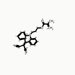 C=C(C)C(=O)OCCCN1c2ccccc2C(=C(C#N)C#N)c2ccccc21